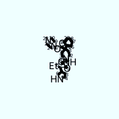 CCC(C1CCNC1)S(=O)(=O)NN1CCC(C(=O)ON2CCN(C)CC2)(c2ccccc2)CC1